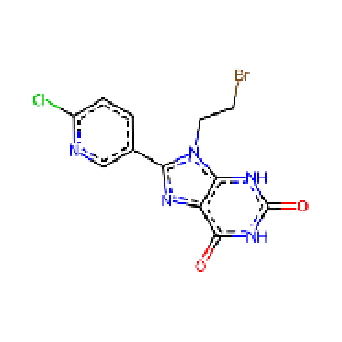 O=c1[nH]c(=O)c2nc(-c3ccc(Cl)nc3)n(CCBr)c2[nH]1